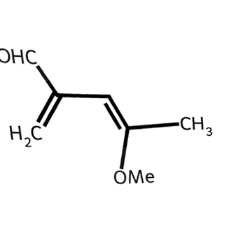 C=C(C=O)/C=C(/C)OC